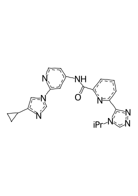 CC(C)n1cnnc1-c1cccc(C(=O)Nc2ccnc(-n3cnc(C4CC4)c3)c2)n1